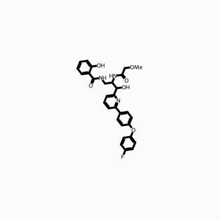 COCC(=O)NC(CNC(=O)c1ccccc1O)C(O)c1cccc(-c2ccc(Oc3ccc(F)cc3)cc2)n1